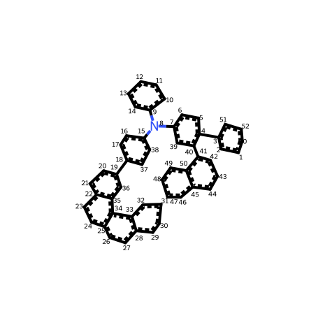 c1ccc(-c2ccc(N(c3ccccc3)c3ccc(-c4ccc5ccc6ccc7ccccc7c6c5c4)cc3)cc2-c2cccc3ccccc23)cc1